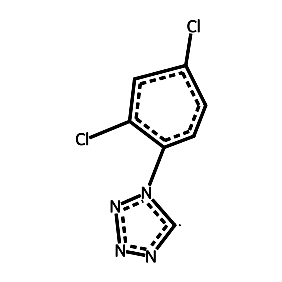 Clc1ccc(-n2[c]nnn2)c(Cl)c1